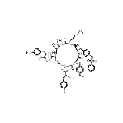 CC(O)C1NC(=O)[C@H](CCCCN)NC(=O)[C@@H](Cc2ccc(NS(=O)(=O)c3ccccc3)cc2)NC(=O)[C@H](Cc2ccc(O)cc2)NC(=O)[C@H](NC(=O)[C@@H](N)Cc2ccc(Cl)cc2)CSSC[C@@H](C(=O)N[C@H](Cc2ccc(O)cc2)C(N)=O)NC1=O